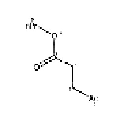 CCCOC(=O)CCC(C)=O